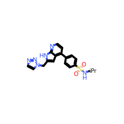 CC(C)NS(=O)(=O)c1ccc(-c2ccnc3[nH]c(Cn4ccnn4)cc23)cc1